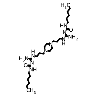 CCCCCCNC(=O)N=C(N)NCCCN1CCN(CCCNC(N)=NC(=O)NCCCCCC)CC1